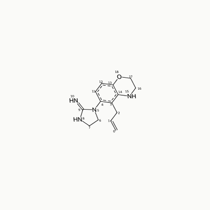 C=CCc1c(N2CCNC2=N)ccc2c1NCCO2